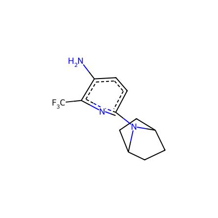 Nc1ccc(N2C3CCC2CC3)nc1C(F)(F)F